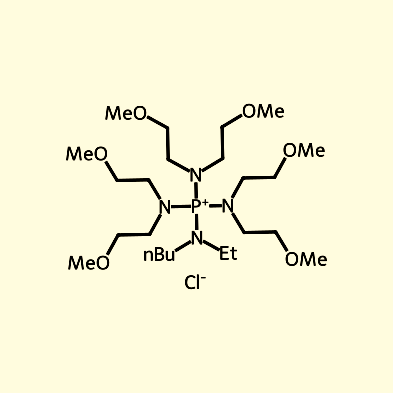 CCCCN(CC)[P+](N(CCOC)CCOC)(N(CCOC)CCOC)N(CCOC)CCOC.[Cl-]